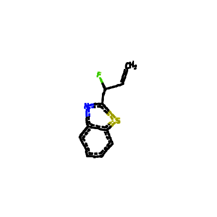 C=CC(F)c1nc2ccccc2s1